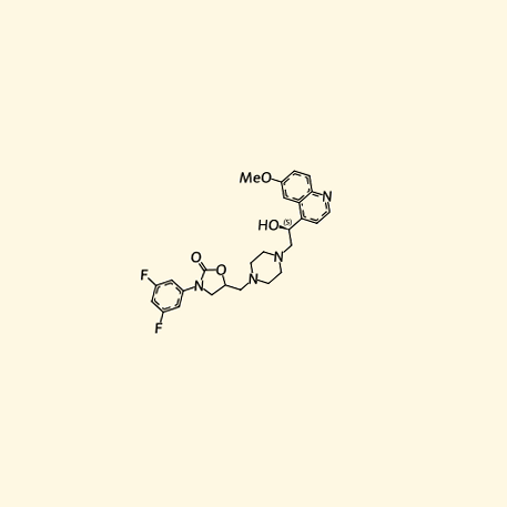 COc1ccc2nccc([C@H](O)CN3CCN(CC4CN(c5cc(F)cc(F)c5)C(=O)O4)CC3)c2c1